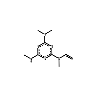 C=CN(C)c1nc(NC)nc(N(C)C)n1